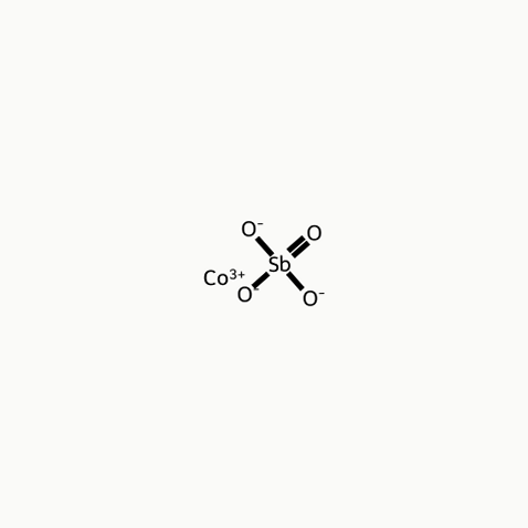 [Co+3].[O]=[Sb]([O-])([O-])[O-]